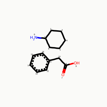 NC1CCCCC1.O=C(O)Cc1ccccc1